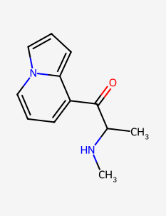 CNC(C)C(=O)c1cccn2cccc12